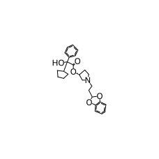 O=C(O[C@H]1CCN(CCC2Oc3ccccc3O2)C1)C(O)(c1ccccc1)C1CCCC1